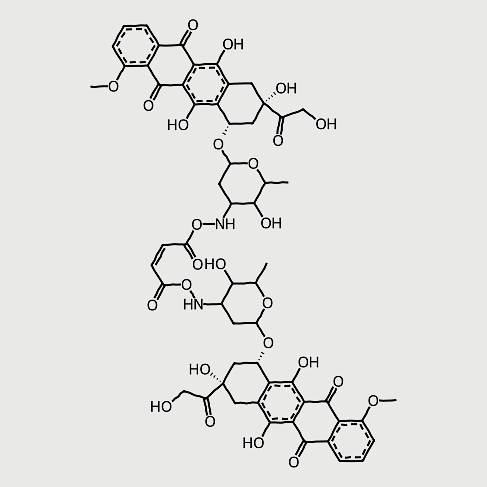 COc1cccc2c1C(=O)c1c(O)c3c(c(O)c1C2=O)C[C@@](O)(C(=O)CO)C[C@@H]3OC1CC(NOC(=O)/C=C\C(=O)ONC2CC(O[C@H]3C[C@](O)(C(=O)CO)Cc4c(O)c5c(c(O)c43)C(=O)c3c(OC)cccc3C5=O)OC(C)C2O)C(O)C(C)O1